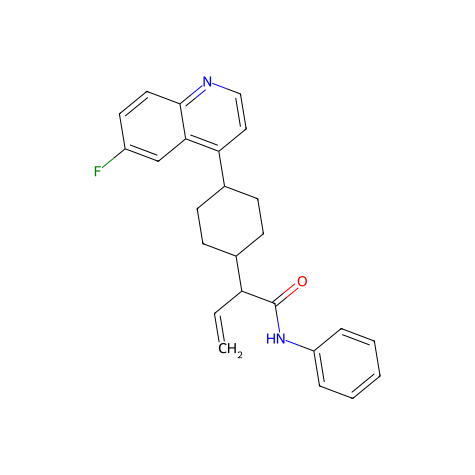 C=CC(C(=O)Nc1ccccc1)C1CCC(c2ccnc3ccc(F)cc23)CC1